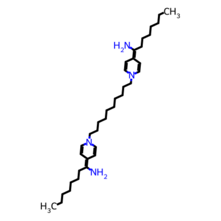 CCCCCCCC(N)=C1C=CN(CCCCCCCCCCN2C=CC(=C(N)CCCCCCC)C=C2)C=C1